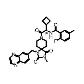 Cc1ccc(F)c(C(=O)N[C@@H](C(=O)N2CCC3(CC2)C(=O)N(C)C(=O)N3Cc2ccc3nccnc3c2)C2CCC2)c1